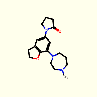 CN1CCCN(c2cc(N3CCCC3=O)cc3c2OCC3)CC1